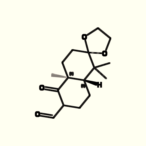 CC1(C)[C@@H]2CCC(C=O)C(=O)[C@@]2(C)CCC12OCCO2